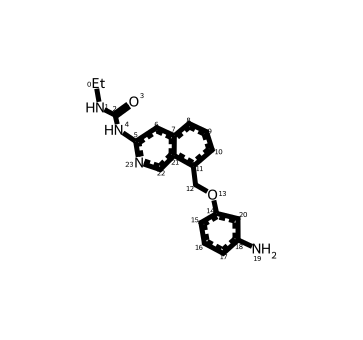 CCNC(=O)Nc1cc2cccc(COc3cccc(N)c3)c2cn1